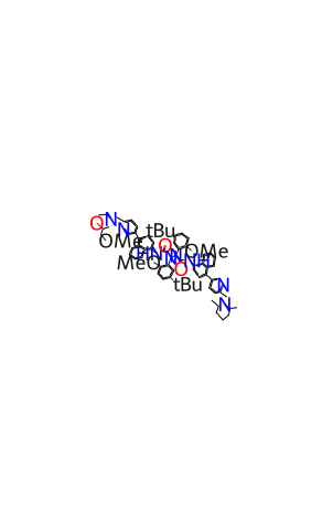 COCC1CN(Cc2ccc(-c3ccc(NC(=O)N(c4cc(C(C)(C)C)ccc4OC)N(C(=O)Nc4ccc(-c5ccc(CN6C(C)CCCC6C)nc5)c5ccccc45)c4cc(C(C)(C)C)ccc4OC)c4ccccc34)cn2)CCO1